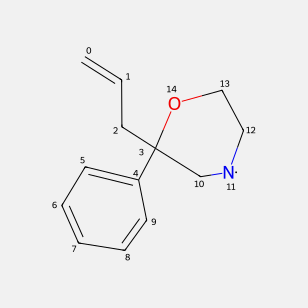 C=CCC1(c2ccccc2)C[N]CCO1